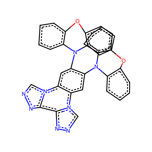 c1ccc2c(c1)Oc1ccccc1N2c1cc2c(cc1N1c3ccccc3Oc3ccccc31)n1cnnc1c1nncn21